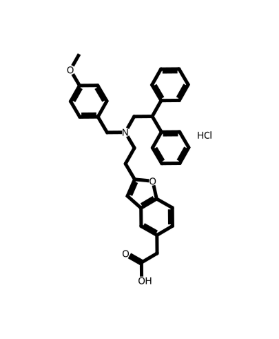 COc1ccc(CN(CCc2cc3cc(CC(=O)O)ccc3o2)CC(c2ccccc2)c2ccccc2)cc1.Cl